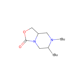 CC(C)(C)C1CN2C(=O)OCC2CN1C(C)(C)C